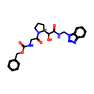 O=C(NCC(=O)N1CCC[C@H]1C(O)C(=O)NCn1nnc2ccccc21)OCc1ccccc1